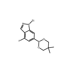 CCn1ncc2c(F)cc(B3OCC(C)(C)CO3)cc21